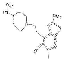 COc1ccc2nc(C)c(=O)n(CCN3CCC(NC(=O)O)CC3)c2c1